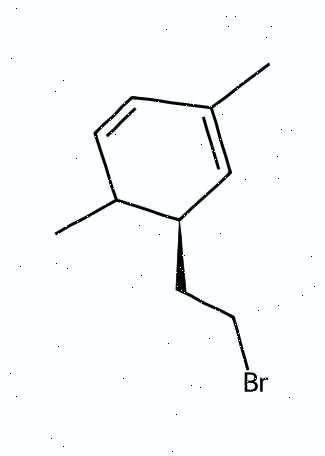 CC1=C[C@@H](CCBr)C(C)C=C1